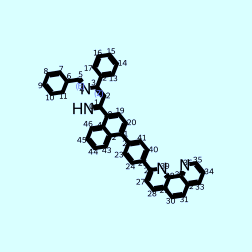 N=C(/C=C(\N=C\C1C=CC=CC1)c1ccccc1)c1ccc(-c2ccc(-c3ccc4ccc5cccnc5c4n3)cc2)c2ccccc12